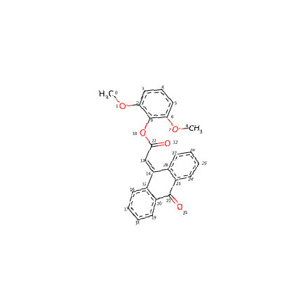 COc1cccc(OC)c1OC(=O)C=C1c2ccccc2C(=O)c2ccccc21